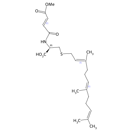 COC(=O)/C=C/C(=O)N[C@@H](CSC/C=C(\C)CC/C=C(\C)CCC=C(C)C)C(=O)O